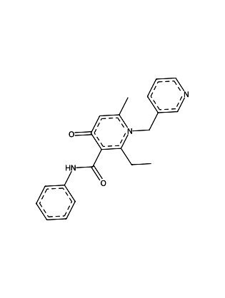 CCc1c(C(=O)Nc2ccccc2)c(=O)cc(C)n1Cc1cccnc1